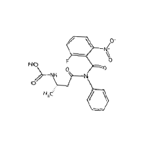 C[C@@H](CC(=O)N(C(=O)c1c(F)cccc1[N+](=O)[O-])c1ccccc1)NC(=O)O